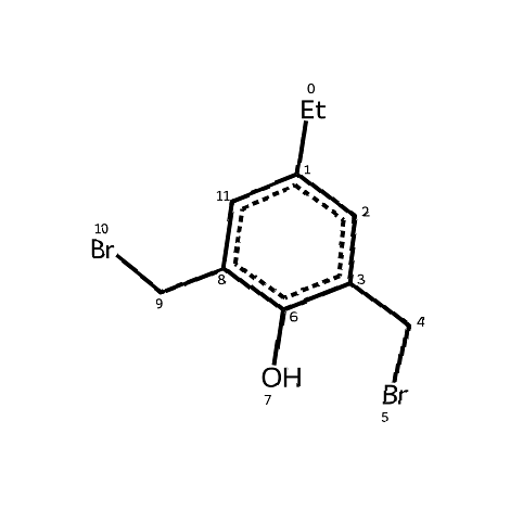 CCc1cc(CBr)c(O)c(CBr)c1